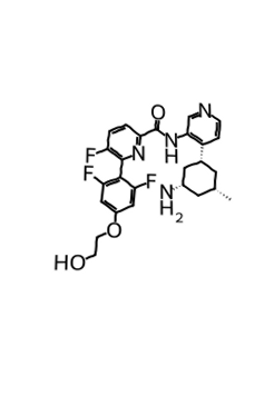 C[C@@H]1C[C@H](N)C[C@H](c2ccncc2NC(=O)c2ccc(F)c(-c3c(F)cc(OCCO)cc3F)n2)C1